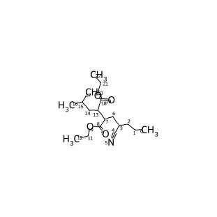 CCCC(C#N)CC(C(=O)OCC)C(CC(C)C)C(=O)OCC